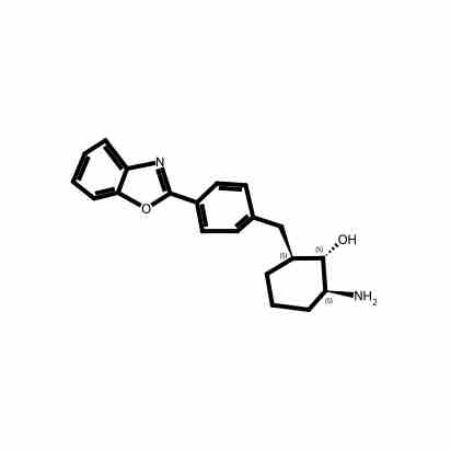 N[C@H]1CCC[C@@H](Cc2ccc(-c3nc4ccccc4o3)cc2)[C@@H]1O